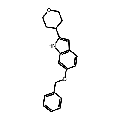 c1ccc(COc2ccc3cc(C4CCOCC4)[nH]c3c2)cc1